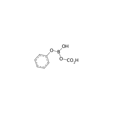 O=C(O)OB(O)Oc1ccccc1